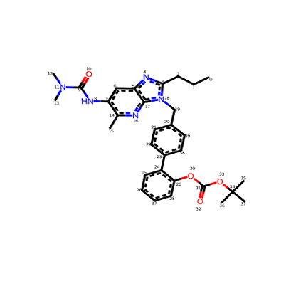 CCCc1nc2cc(NC(=O)N(C)C)c(C)nc2n1Cc1ccc(-c2ccccc2OC(=O)OC(C)(C)C)cc1